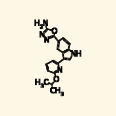 CC(C)Oc1cccc(-c2c[nH]c3ccc(-c4nnc(N)o4)cc23)n1